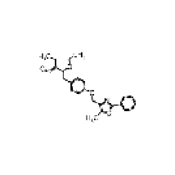 CCO[C@@H](Cc1ccc(OCc2nc(-c3ccccc3)oc2C)cc1)C(CC)=S=O